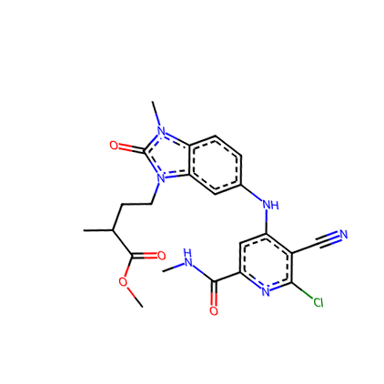 CNC(=O)c1cc(Nc2ccc3c(c2)n(CCC(C)C(=O)OC)c(=O)n3C)c(C#N)c(Cl)n1